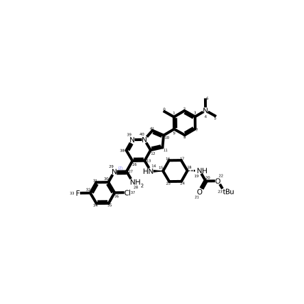 Cc1cc(N(C)C)ccc1-c1cc2c(N[C@H]3CC[C@H](NC(=O)OC(C)(C)C)CC3)c(/C(N)=N/c3cc(F)ccc3Cl)cnn2c1